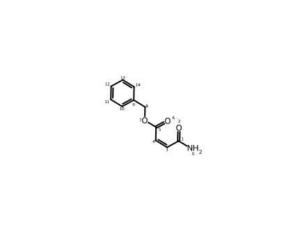 NC(=O)/C=C\C(=O)OCc1ccccc1